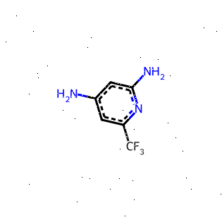 Nc1cc(N)nc(C(F)(F)F)c1